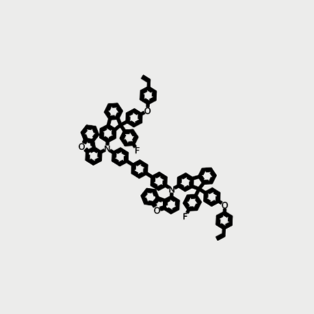 C=Cc1ccc(Oc2ccc(C3(c4ccc(F)cc4)c4ccccc4-c4ccc(N(c5ccc(-c6ccc(-c7ccc(N(c8ccc9c(c8)C(c8ccc(F)cc8)(c8ccc(Oc%10ccc(C=C)cc%10)cc8)c8ccccc8-9)c8cccc9oc%10ccccc%10c89)cc7)cc6)cc5)c5cccc6oc7ccccc7c56)cc43)cc2)cc1